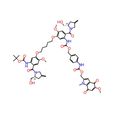 C=C1C[C@@H](CO)N(C(=O)c2cc(OC)c(OCCCCCOc3cc(NC(=O)OC(C)(C)C)c(C(=O)N4CC(=C)C[C@H]4CO)cc3OC)cc2NC(=O)OCc2ccc(NC(=O)OCc3cc4c(n3C)C(=O)C=C(OC)C4=O)cc2)C1